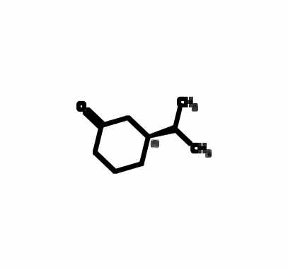 CC(C)[C@H]1CCCC(=O)C1